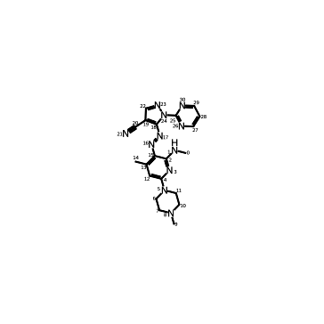 CNc1nc(N2CCN(C)CC2)cc(C)c1/N=N/c1c(C#N)cnn1-c1ncccn1